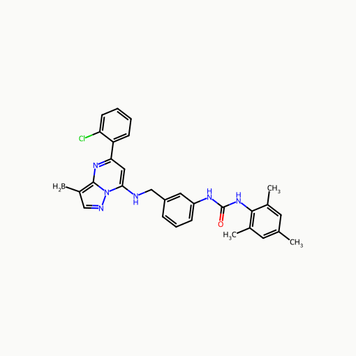 Bc1cnn2c(NCc3cccc(NC(=O)Nc4c(C)cc(C)cc4C)c3)cc(-c3ccccc3Cl)nc12